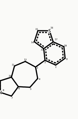 c1cc(C2CCC3CNCC3CC2)c2ccsc2c1